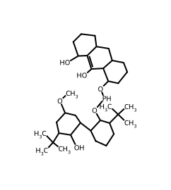 COC1CC(C2CCCC(C(C)(C)C)C2OPOC2CCCC3CC4CCCC(O)C4=C(O)C32)C(O)C(C(C)(C)C)C1